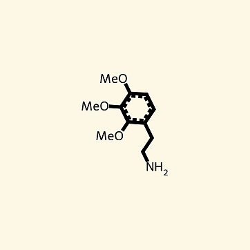 COc1ccc(CCN)c(OC)c1OC